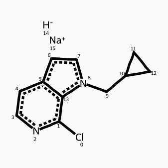 Clc1nccc2ccn(CC3CC3)c12.[H-].[Na+]